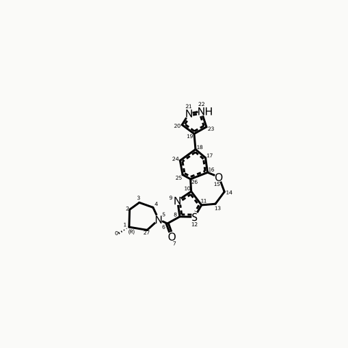 C[C@@H]1CCCN(C(=O)c2nc3c(s2)CCOc2cc(-c4cn[nH]c4)ccc2-3)C1